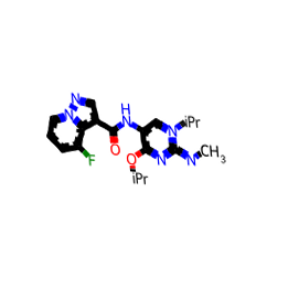 C/N=c1/nc(OC(C)C)c(NC(=O)c2cnn3cccc(F)c23)cn1C(C)C